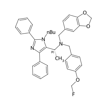 CCCCn1c(-c2ccccc2)nc(-c2ccccc2)c1[C@@H](C)N(Cc1ccc(OCF)cc1)Cc1ccc2c(c1)OCO2